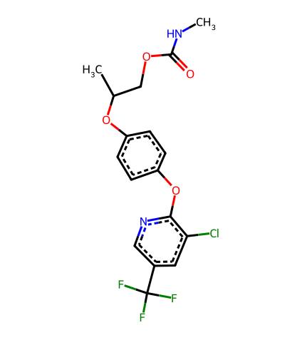 CNC(=O)OCC(C)Oc1ccc(Oc2ncc(C(F)(F)F)cc2Cl)cc1